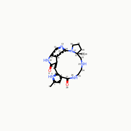 Cc1cc2c([nH]1)/C=C1\C(=O)Nc3cnc(cc31)N1CCC[C@@H]1CNCCNC2=O